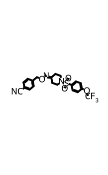 N#Cc1ccc(CON=C2CCN(S(=O)(=O)c3ccc(OC(F)(F)F)cc3)CC2)cc1